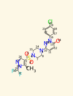 Cc1c(S(=O)(=O)N2CCN(c3ccc(=O)n(-c4ccc(Cl)cc4)n3)CC2)cnn1C(F)F